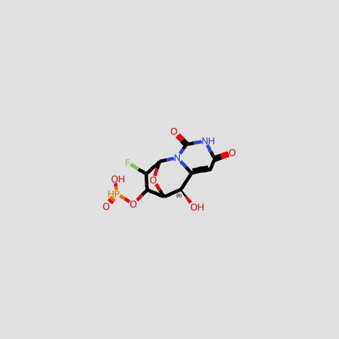 O=c1cc2n(c(=O)[nH]1)C1OC(C(O[PH](=O)O)C1F)[C@@H]2O